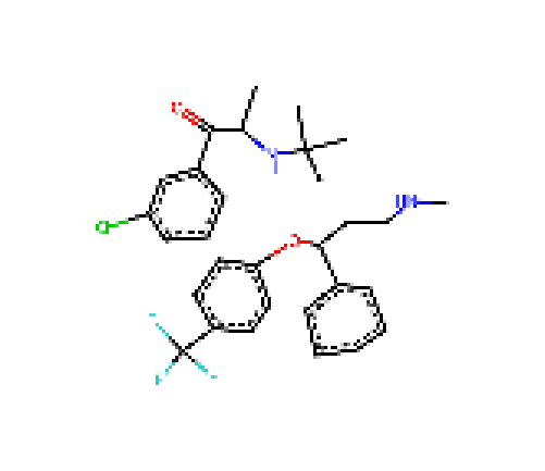 CC(NC(C)(C)C)C(=O)c1cccc(Cl)c1.CNCCC(Oc1ccc(C(F)(F)F)cc1)c1ccccc1